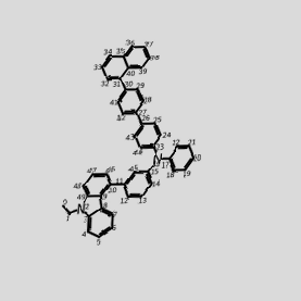 CCn1c2ccccc2c2c(-c3cccc(N(c4ccccc4)c4ccc(-c5ccc(-c6cccc7ccccc67)cc5)cc4)c3)cccc21